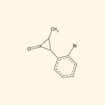 CC1C(=O)C1c1ccccc1Br